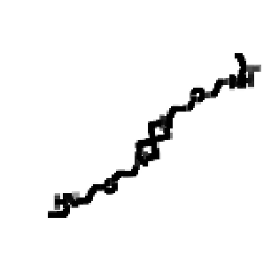 CCNCCOCCN1CC2(C1)CN(CCOCCNC(C)C)C2